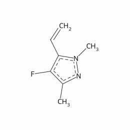 C=Cc1c(F)c(C)nn1C